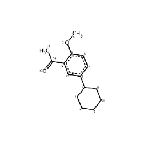 COc1ccc(C2CCCCC2)cc1C(C)=O